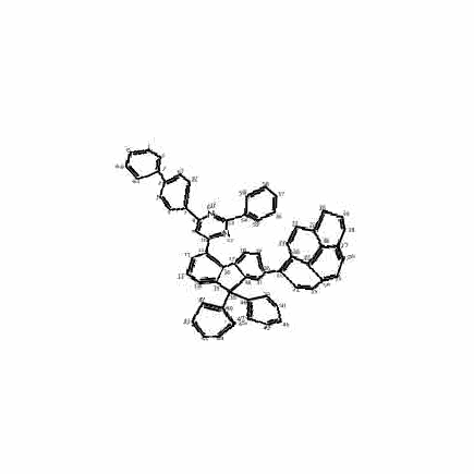 c1ccc(-c2ccc(-c3cc(-c4cccc5c4-c4ccc(-c6ccc7ccc8cccc9ccc6c7c89)cc4C5(c4ccccc4)c4ccccc4)nc(-c4ccccc4)n3)cc2)cc1